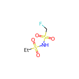 CCS(=O)(=O)NS(=O)(=O)CF